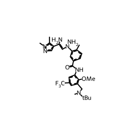 COc1c(CN(C)C(C)(C)C)cc(C(F)(F)F)cc1NC(=O)c1ccc(C)c(N(N)/C=C(\N)c2cnn(C)c2C)c1